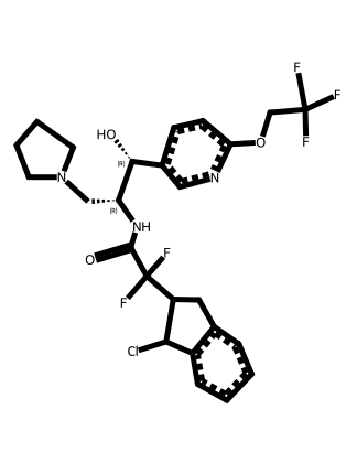 O=C(N[C@H](CN1CCCC1)[C@H](O)c1ccc(OCC(F)(F)F)nc1)C(F)(F)C1Cc2ccccc2C1Cl